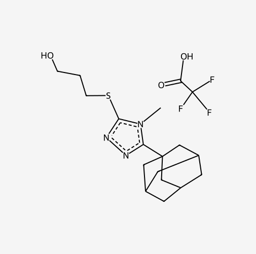 Cn1c(SCCCO)nnc1C12CC3CC(CC(C3)C1)C2.O=C(O)C(F)(F)F